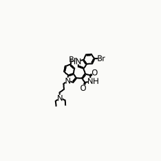 CCN(CC)CCCn1cc(C2=C(c3c[nH]c4ccc(Br)cc34)C(=O)NC2=O)c2cc(Br)ccc21